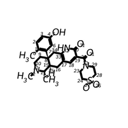 Cc1ccc(O)cc1[C@]12CCN(C)[C@H](C)[C@@H]1Cc1cc(C(=O)N3CCS(=O)(=O)CC3)c(=O)[nH]c1C2